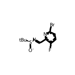 CC(C)(C)[S@+]([O-])N=Cc1nc(Br)ccc1F